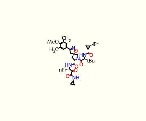 CCC[C@H](NC(=O)[C@@H]1C[C@]2(CC(c3cc(C)c(OC)c(C)c3)=NO2)CN1C(=O)[C@@H](NC(=O)[C@@H]1C[C@H]1C(C)C)C(C)(C)C)C(=O)C(=O)NC1CC1